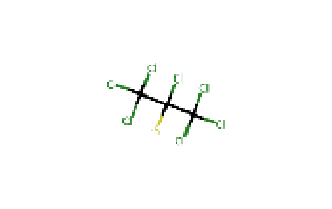 [S]C(Cl)(C(Cl)(Cl)Cl)C(Cl)(Cl)Cl